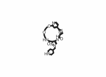 O=C1Nc2cn(CC3CCNCC3)nc2C(=O)NCCOCCOc2cc(ccn2)-c2nc1cs2